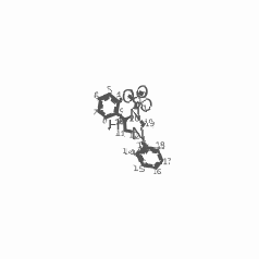 O=S1(=O)Oc2ccccc2[C@@H]2CN(c3ccccc3)CN21